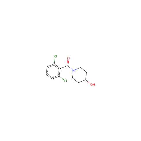 O=C(c1c(Cl)cccc1Cl)N1CCC(O)CC1